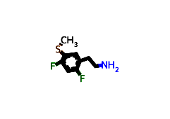 CSc1cc(CCN)c(F)cc1F